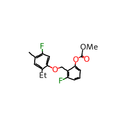 CCc1cc(C)c(F)cc1OCc1c(F)cccc1OC(=O)OC